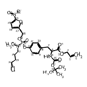 C=CCOC(=O)C(Cc1ccc(OP(=O)(OCc2ccc([N+](=O)[O-])o2)N(C)CCCCCl)cc1)NC(=O)OC(C)(C)C